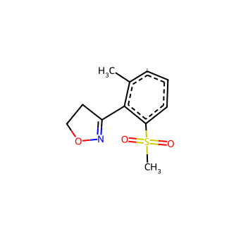 Cc1[c]ccc(S(C)(=O)=O)c1C1=NOCC1